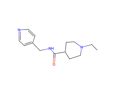 CCN1CCC(C(=O)NCc2ccncc2)CC1